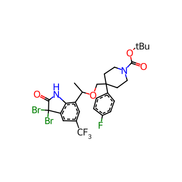 CC(OCC1(c2ccc(F)cc2)CCN(C(=O)OC(C)(C)C)CC1)c1cc(C(F)(F)F)cc2c1NC(=O)C2(Br)Br